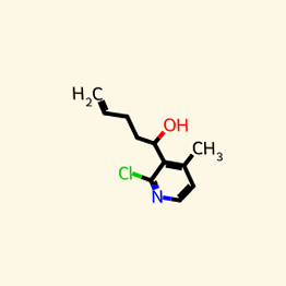 C=CCCC(O)c1c(C)ccnc1Cl